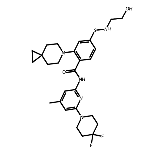 Cc1cc(NC(=O)c2ccc(SNCCO)cc2N2CCC3(CC2)CC3)nc(N2CCC(F)(F)CC2)c1